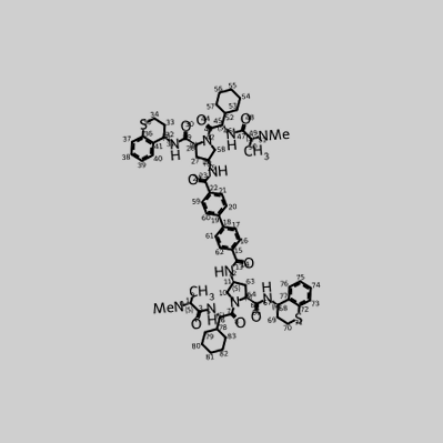 CN[C@@H](C)C(=O)N[C@H](C(=O)N1C[C@@H](NC(=O)c2ccc(-c3ccc(C(=O)N[C@H]4C[C@@H](C(=O)N[C@@H]5CCSc6ccccc65)N(C(=O)[C@@H](NC(=O)[C@H](C)NC)C5CCCCC5)C4)cc3)cc2)C[C@H]1C(=O)N[C@@H]1CCSc2ccccc21)C1CCCCC1